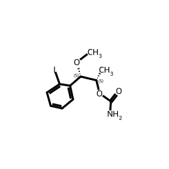 CO[C@@H](c1ccccc1I)[C@H](C)OC(N)=O